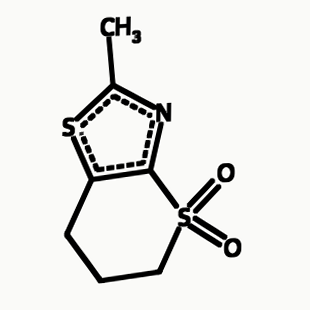 Cc1nc2c(s1)CCCS2(=O)=O